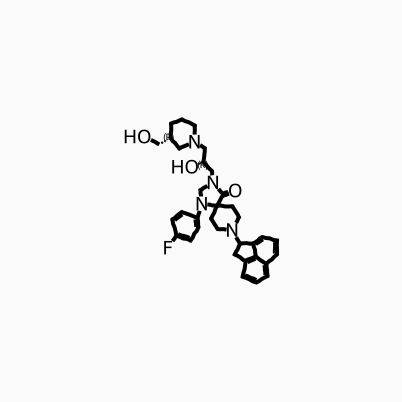 O=C1N(C[C@H](O)CN2CCC[C@@H](CO)C2)CN(c2ccc(F)cc2)C12CCN(C1Cc3cccc4cccc1c34)CC2